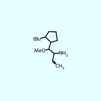 C=CC(N)C(OC)C1CCCC1C(C)(C)C